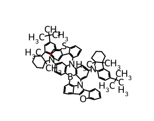 CC(C)(C)c1ccc2c(c1)C1(C)CCCCC1(C)N2c1ccc2c(c1)N(c1cccc3sc4ccccc4c13)c1cc(N3c4ccc(C(C)(C)C)cc4C4(C)CCCCC34C)cc3c1B2c1cccc2c4oc5ccccc5c4n-3c12